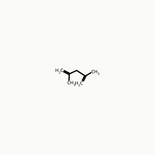 C=C(C)CC(=C)C